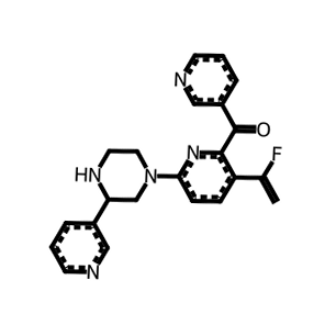 C=C(F)c1ccc(N2CCNC(c3cccnc3)C2)nc1C(=O)c1cccnc1